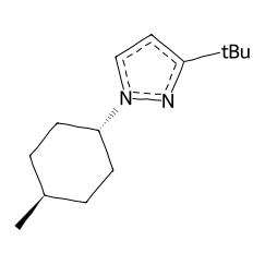 CC(C)(C)c1ccn([C@H]2CC[C@H](C)CC2)n1